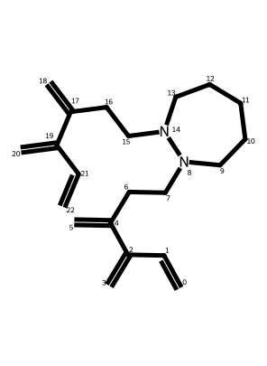 C=CC(=C)C(=C)CCN1CCCCCN1CCC(=C)C(=C)C=C